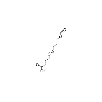 O=COCCCSSCCCC(=O)O